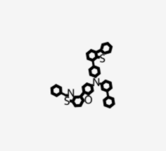 c1ccc(-c2cccc(N(c3ccc(-c4cccc5c4sc4ccccc45)cc3)c3ccc4c(c3)oc3ccc5sc(-c6ccccc6)nc5c34)c2)cc1